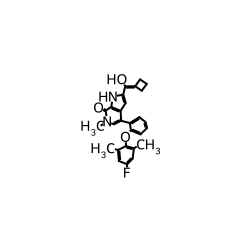 Cc1cc(F)cc(C)c1Oc1ccccc1-c1cn(C)c(=O)c2[nH]c(C(O)=C3CCC3)cc12